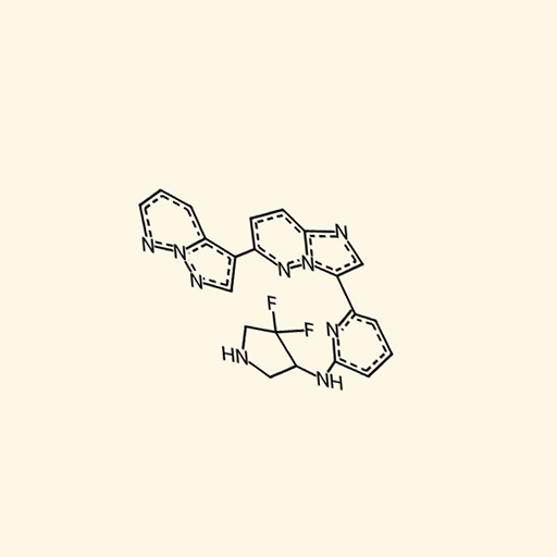 FC1(F)CNCC1Nc1cccc(-c2cnc3ccc(-c4cnn5ncccc45)nn23)n1